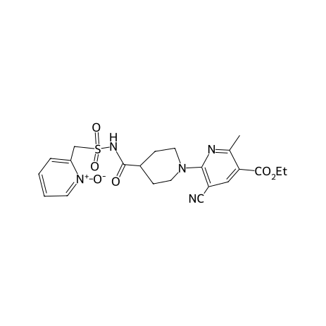 CCOC(=O)c1cc(C#N)c(N2CCC(C(=O)NS(=O)(=O)Cc3cccc[n+]3[O-])CC2)nc1C